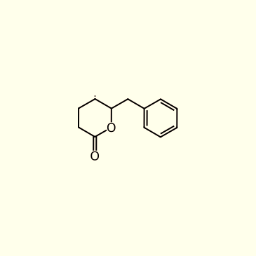 O=C1CC[CH]C(Cc2ccccc2)O1